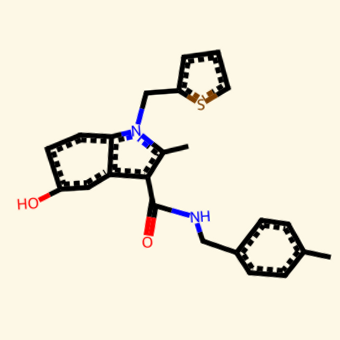 Cc1ccc(CNC(=O)c2c(C)n(Cc3cccs3)c3ccc(O)cc23)cc1